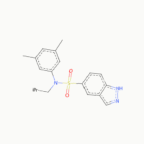 Cc1cc(C)cc(N(CC(C)C)S(=O)(=O)c2ccc3[nH]ncc3c2)c1